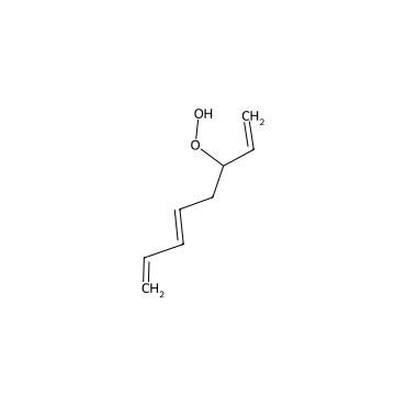 C=CC=CCC(C=C)OO